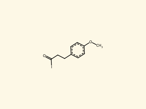 COc1ccc(CCC(=O)I)cc1